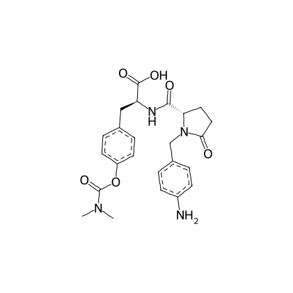 CN(C)C(=O)Oc1ccc(C[C@H](NC(=O)[C@@H]2CCC(=O)N2Cc2ccc(N)cc2)C(=O)O)cc1